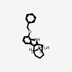 CN1[C@@H]2CCC[C@H]1c1c([nH]c3c(OCc4ccccc4)cccc13)C2